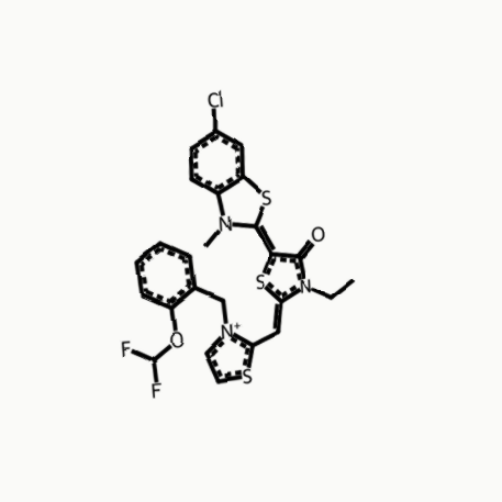 CCn1c(=O)/c(=C2\Sc3cc(Cl)ccc3N2C)s/c1=C\c1scc[n+]1Cc1ccccc1OC(F)F